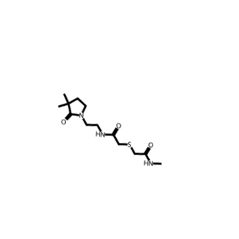 CNC(=O)CSCC(=O)NCCN1CCC(C)(C)C1=O